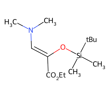 CCOC(=O)/C(=C/N(C)C)O[Si](C)(C)C(C)(C)C